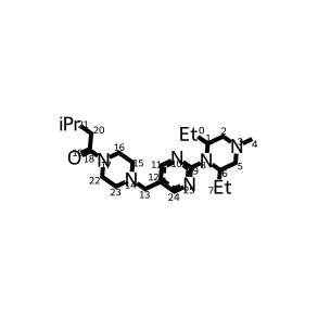 CCC1CN(C)CC(CC)N1c1ncc(CN2CCN(C(=O)CC(C)C)CC2)cn1